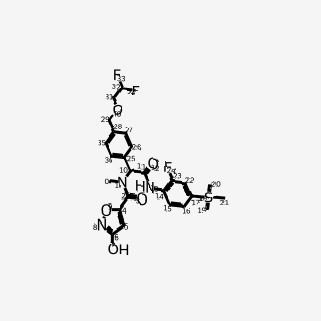 CN(C(=O)c1cc(O)no1)C(C(=O)Nc1ccc(S(C)(C)C)cc1F)c1ccc(COCC(F)F)cc1